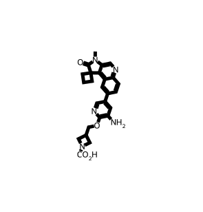 CN1C(=O)C2(CCC2)c2c1cnc1ccc(-c3cnc(OCC4CN(C(=O)O)C4)c(N)c3)cc21